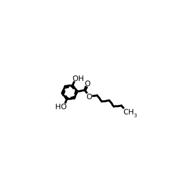 CCCCCCOC(=O)c1cc(O)ccc1O